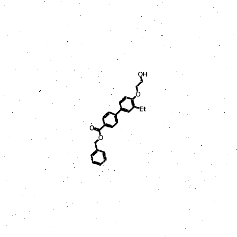 CCc1cc(-c2ccc(C(=O)OCc3ccccc3)cc2)ccc1OCCO